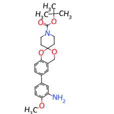 COc1ccc(-c2ccc3c(c2)COC2(CCN(C(=O)OC(C)(C)C)CC2)O3)cc1N